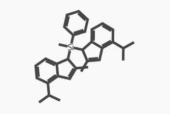 CC1=Cc2c(C(C)C)cccc2C1[Si](C)(c1ccccc1)C1C(C)=Cc2c(C(C)C)cccc21